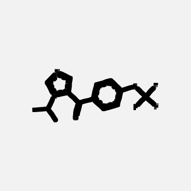 CC(C)n1cncc1C(=O)c1ccc(SC(F)(F)F)cc1